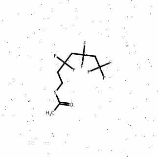 CC(=O)SCCC(F)(F)CC(F)(F)CC(F)(F)F